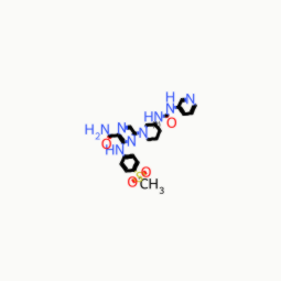 CS(=O)(=O)c1ccc(Nc2nc(N3CCC[C@@H](NC(=O)Nc4cccnc4)C3)cnc2C(N)=O)cc1